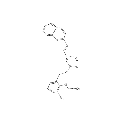 Cc1cccc(COc2cccc(C=Cc3ccc4ccccc4n3)c2)c1OCC#N